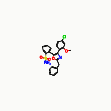 COc1cc(Cl)ccc1-c1nc(Cc2ccccc2)oc1-c1ccccc1S(N)(=O)=O